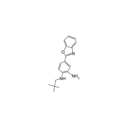 CC(C)(C)CNc1ccc(-c2nc3ccccc3o2)cc1N